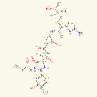 CC(C)(ON=C(C(=O)N[C@H]1CN(C(=O)NS(=O)(=O)n2nc(-c3cc(=O)c(O)c[nH]3)n(C[C@H](O)CO)c2=O)C1=O)c1csc(N)n1)C(=O)O